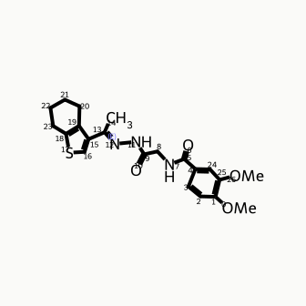 COc1ccc(C(=O)NCC(=O)N/N=C(\C)c2csc3c2CCCC3)cc1OC